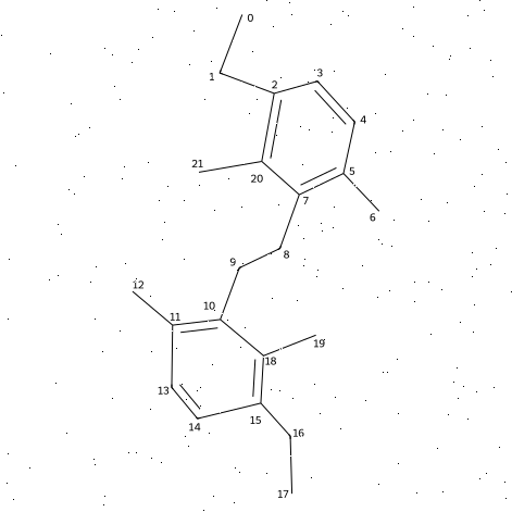 CCc1ccc(C)c(CCc2c(C)ccc(CC)c2C)c1C